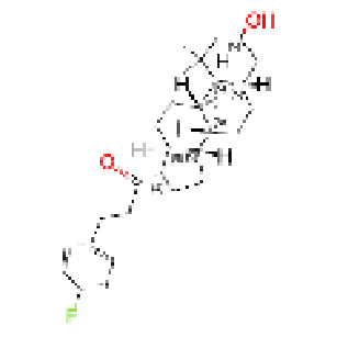 CC1(C)C[C@@H](O)C[C@@H]2CC[C@@H]3[C@@H]4CC[C@H](C(=O)CCc5ccc(F)cc5)[C@H]4CC[C@@H]3[C@H]21